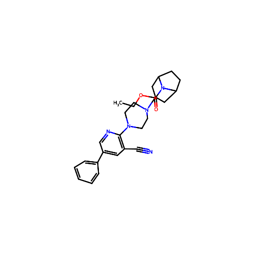 CCOC(=O)N1C2CCC1CC(N1CCN(c3ncc(-c4ccccc4)cc3C#N)CC1)C2